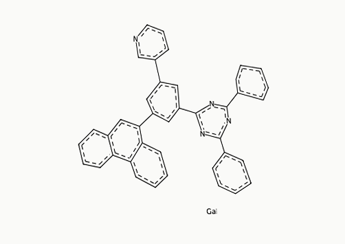 [Ga].c1ccc(-c2nc(-c3ccccc3)nc(-c3cc(-c4cccnc4)cc(-c4cc5ccccc5c5ccccc45)c3)n2)cc1